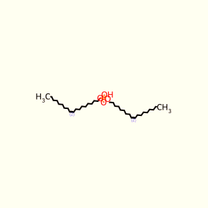 CCCCCCCC/C=C\CCCCCCCCOP(=O)(O)OCCCCCCCC/C=C\CCCCCCCC